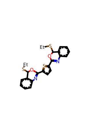 CCSC1OC(c2ccc(C3=Nc4ccccc4C(SCC)O3)s2)=Nc2ccccc21